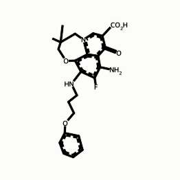 CC1(C)COc2c(NCCCOc3ccccc3)c(F)c(N)c3c(=O)c(C(=O)O)cn(c23)C1